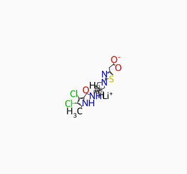 Cc1[nH]c(C(=O)N[C@@H]2[C@@H]3CN(c4nc(CC(=O)[O-])cs4)C[C@@H]32)c(Cl)c1Cl.[Li+]